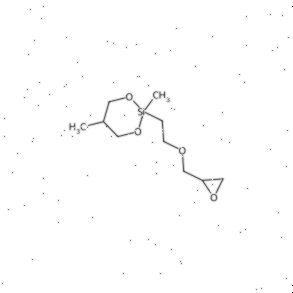 CC1CO[Si](C)(CCOCC2CO2)OC1